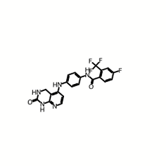 O=C1NCc2c(Nc3ccc(NC(=O)c4ccc(F)cc4C(F)(F)F)cc3)ccnc2N1